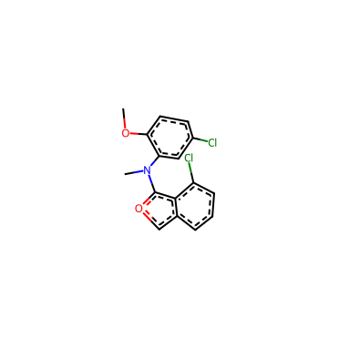 COc1ccc(Cl)cc1N(C)c1occ2cccc(Cl)c12